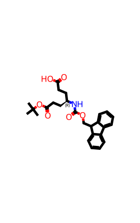 CC(C)(C)OC(=O)CC[C@@H](CCC(=O)O)NC(=O)OCC1c2ccccc2-c2ccccc21